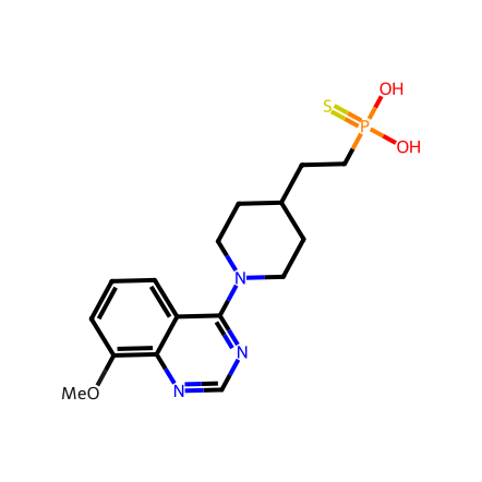 COc1cccc2c(N3CCC(CCP(O)(O)=S)CC3)ncnc12